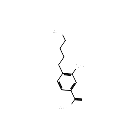 COC(=O)c1ccc(CCCCOC(C)=O)c([N+](=O)[O-])c1